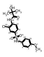 COc1ccc(NS(=O)(=O)c2ccc(NC(=O)C(C)(C)O)c(Cl)c2)cc1